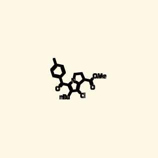 CCCCc1c(Cl)c2n(c1C(=O)c1ccc(C)cc1)CCC2C(=O)OC